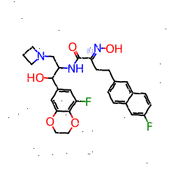 O=C(NC(CN1CCC1)C(O)c1cc(F)c2c(c1)OCCO2)/C(CCc1ccc2cc(F)ccc2c1)=N/O